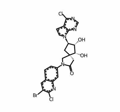 O=C1C[C@@]2(C[C@@H](n3ccc4c(Cl)ncnc43)[C@H](O)[C@@H]2O)CN1c1ccc2cc(Br)c(Cl)nc2c1